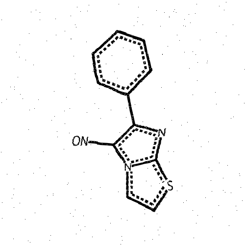 O=Nc1c(-c2ccccc2)nc2sccn12